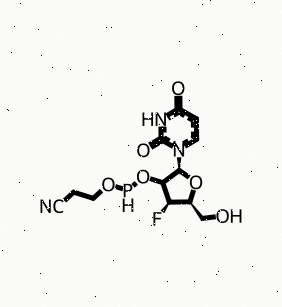 N#CCCOPOC1[C@H](F)[C@H](CO)O[C@@H]1n1ccc(=O)[nH]c1=O